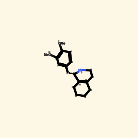 COc1ccc(C[C@@H]2NCCC3=C2CCCC3)cc1OC